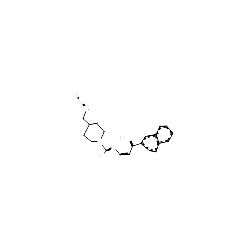 C=C(/C=C\N=C(/N)N1CCC(CN=[N+]=[N-])CC1)c1ccc2ccccc2c1